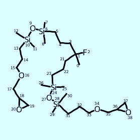 CC(F)(CCC[Si](C)(C)O[Si](C)(C)CCCOCC1CO1)CCC[Si](C)(C)O[Si](C)(C)CCCOCC1CO1